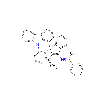 C=CC1=C(/N=C(\C)c2ccccc2)c2ccccc2C12c1ccccc1-n1c3ccccc3c3cccc2c31